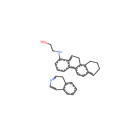 C1=Cc2ccccc2CC=N1.OCCNc1cccc2c1=CCc1c3c(ccc1=2)=CCCC3